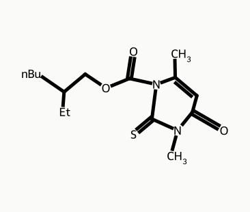 CCCCC(CC)COC(=O)n1c(C)cc(=O)n(C)c1=S